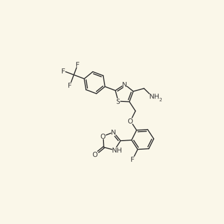 NCc1nc(-c2ccc(C(F)(F)F)cc2)sc1COc1cccc(F)c1-c1noc(=O)[nH]1